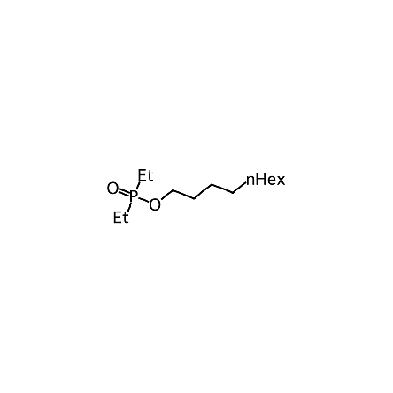 CCCCCCCCCCOP(=O)(CC)CC